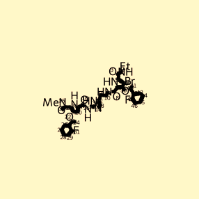 CCNC(=O)c1[nH]c(C(=O)NCCc2cnc(NC(=O)c3cc(OC(C)c4ccccc4F)c(C(=O)NC)[nH]3)[nH]2)c(OC(C)c2ccccc2F)c1Br